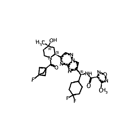 Cc1nonc1C(=O)N[C@H](c1cn2ncc([C@@H]3C[C@@](C)(O)CCN3C(=O)C34CC(F)(C3)C4)nc2n1)C1CCC(F)(F)CC1